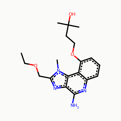 CCOCc1nc2c(N)nc3cccc(OCCC(C)(C)O)c3c2n1C